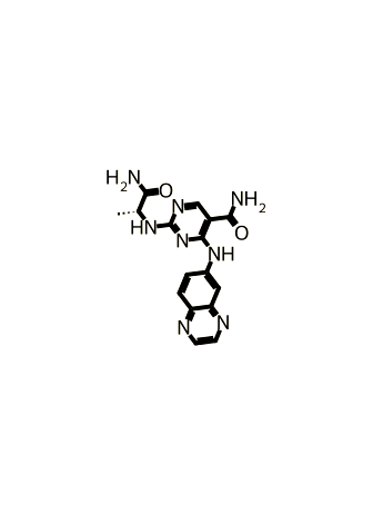 C[C@@H](Nc1ncc(C(N)=O)c(Nc2ccc3nccnc3c2)n1)C(N)=O